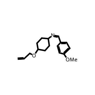 C=CCOC1CCC(/N=C\c2ccc(OC)cc2)CC1